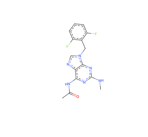 CNc1nc(NC(C)=O)c2ncn(Cc3c(F)cccc3F)c2n1